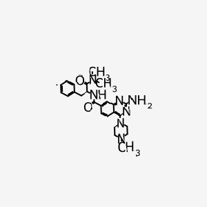 CN1CCN(c2nc(N)nc3cc(C(=O)N[C@@H](Cc4cc[c]cc4)C(=O)N(C)C)ccc23)CC1